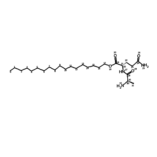 CCCCCCCCCCCCCCCCCCOC(=O)[C@H](CCC(N)=O)NC(=O)[C@@H](C)N